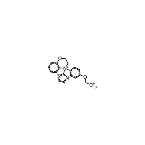 FC(F)(F)COc1ccc([N+]2(c3nccs3)CCOc3ccccc32)cc1